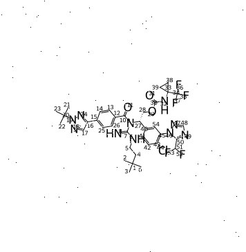 CC(C)(C)CCNC(=N)N(C(=O)c1ccc(-c2cnn(C(C)(C)C)n2)cc1)[C@H](COC(=O)NC1(C(F)(F)F)CC1)c1ccc(Cl)c(-n2ncnc2C(F)F)c1